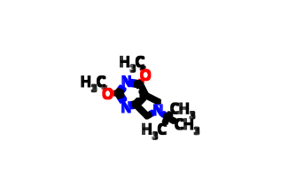 COc1nc2c(c(OC)n1)CN(C(C)(C)C)C2